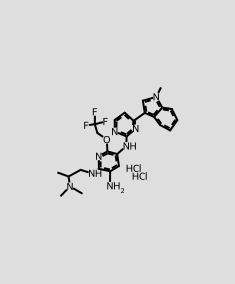 CC(CNc1nc(OCC(F)(F)F)c(Nc2nccc(-c3cn(C)c4ccccc34)n2)cc1N)N(C)C.Cl.Cl